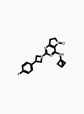 [O-][S+]1CCc2nc(N3CC(c4ccc(F)cc4)C3)nc(NC34CC(C3)C4)c21